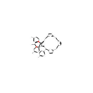 Ic1ccc(-c2c(-c3ccc(I)cc3)c3c(-c4ccc(I)cc4)c4nc(cc5ccc(cc6nc(cc2n3-c2ccc(I)cc2)C=C6)[nH]5)C=C4)cc1